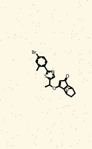 Cc1cc(Br)ccc1-c1ncc(C(C)OC2=CC(=O)C3C4CCC(O4)C23)s1